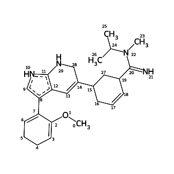 COC1=CCCC=C1c1c[nH]c2c1C=C(C1CC=CC(C(=N)N(C)C(C)C)C1)CN2